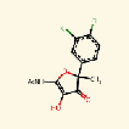 CC(=O)NC1=C(O)C(=O)C(C)(c2ccc(Cl)c(Cl)c2)O1